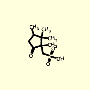 CC1CC(=O)[C@@](C)(CS(=O)(=O)O)C1(C)C